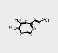 CCO/C=C/C1=N/C=C/CC(C)/C(Cl)=C\1